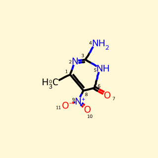 Cc1nc(N)[nH]c(=O)c1[N+](=O)[O-]